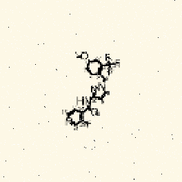 COc1ccc(Cn2ccc(NC(=O)c3ccncc3F)n2)c(C(F)(F)F)c1